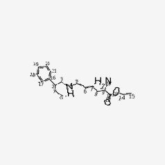 [CH2]CC(CNCCCCC(N)C(=O)OCC)c1ccccc1